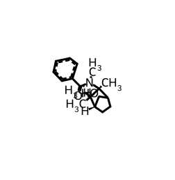 CN(C(=O)c1ccccc1)[C@]1(C)C2CC[C@@H]([C@H]2O)C1(C)C